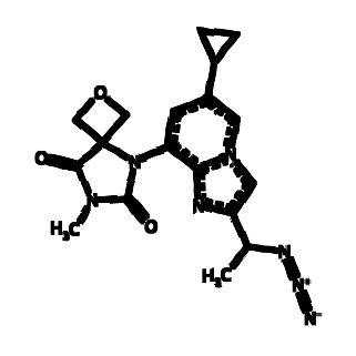 CC(N=[N+]=[N-])c1cn2cc(C3CC3)cc(N3C(=O)N(C)C(=O)C34COC4)c2n1